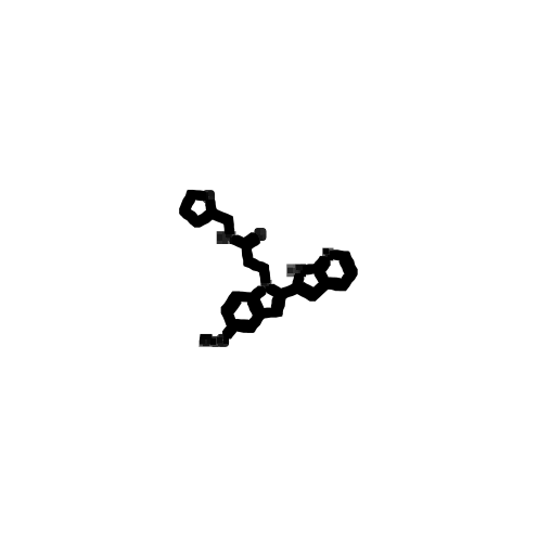 COc1ccc2c(c1)cc(-c1cc3cccnc3[nH]1)n2CCC(=O)NCC1CCCO1